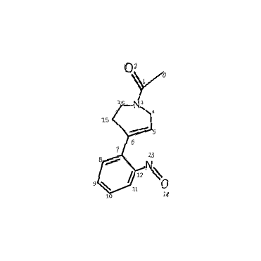 CC(=O)N1CC=C(c2ccccc2N=O)CC1